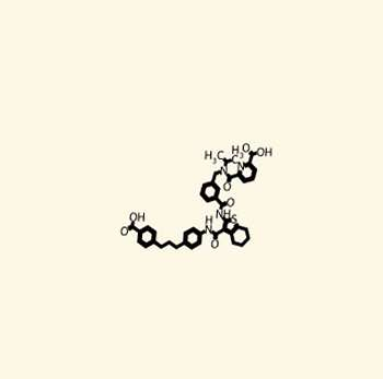 CC(C)N(Cc1cccc(C(=O)Nc2sc3c(c2C(=O)Nc2ccc(CCCc4ccc(C(=O)O)cc4)cc2)CCCC3)c1)C(=O)c1cccc(C(=O)O)n1